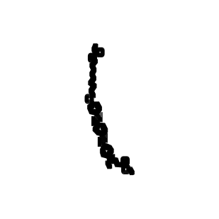 CCOC(=O)CCN(CC)c1ccc(N=Nc2ccc(N=Nc3ccc(OCCCCCCCCCOC(=O)CC)cc3)cc2)cc1